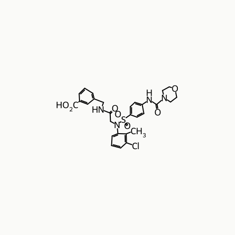 Cc1c(Cl)cccc1N(CC(=O)NCc1cccc(C(=O)O)c1)S(=O)(=O)c1ccc(NC(=O)N2CCOCC2)cc1